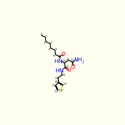 CCCCCCCC(=O)NC(CC(N)=O)C(=O)NCCc1ccsc1